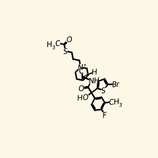 CC(=O)SCCC[N+]12CCC(CC1)[C@@H](NC(=O)C(O)(c1ccc(F)c(C)c1)c1ccc(Br)s1)C2